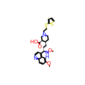 CON[C@@H](CC[C@@H]1CCN(CCSc2cccs2)C[C@@H]1C(=O)O)c1ccnc2ccc(OC)cc12